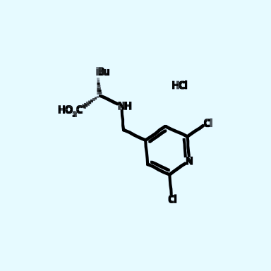 CC[C@@H](C)[C@H](NCc1cc(Cl)nc(Cl)c1)C(=O)O.Cl